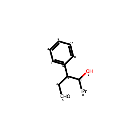 CC(C)C(O)C(CC=O)c1ccccc1